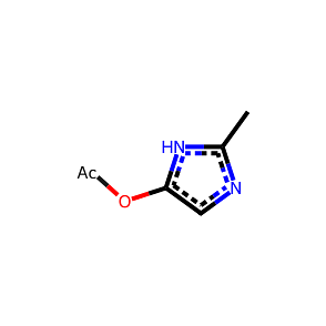 CC(=O)Oc1cnc(C)[nH]1